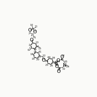 Cc1cc(OC[C@H]2COC(C)(C)O2)cc(C)c1-c1cccc(COc2ccc(B3OC(=O)CN(C)CC(=O)O3)cc2)c1